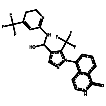 O=c1[nH]ccc2c(-n3ncc(C(O)NC4=NCCC(C(F)(F)F)=C4)c3C(F)(F)F)cccc12